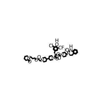 O=C(CN1CCC(C2CCN(C(=O)[C@@H](Cc3cc(Cl)c(O)c(C(F)(F)F)c3)OC(=O)N3CCC(N4CCc5ccccc5NC4=O)CC3)CC2)CC1)OCCCN1CCCCC1=O